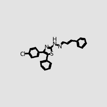 Clc1ccc(-c2nc(NN=CC=Cc3ccccc3)sc2-c2ccccc2)cc1